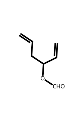 C=CCC(C=C)OC=O